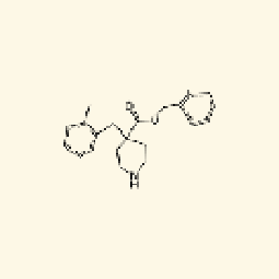 Cc1ccccc1CC1(C(=O)OCc2ccccn2)CCNCC1